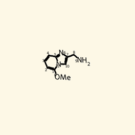 COc1cccc2nc(CN)cn12